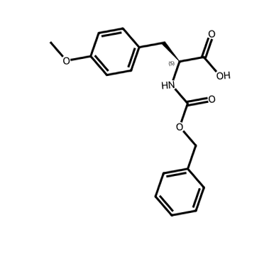 COc1ccc(C[C@H](NC(=O)OCc2ccccc2)C(=O)O)cc1